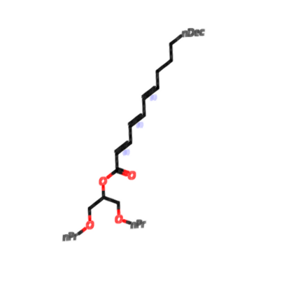 CCCCCCCCCCCCC/C=C/C=C/C=C/C(=O)OC(COCCC)COCCC